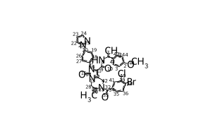 COc1ccc(C(C)NC(=O)c2c3n(c(=O)n2-c2ccc(-n4cccn4)cc2)C[C@@H](C)N(C(=O)c2ccc(Br)c(Cl)c2)C3)cc1